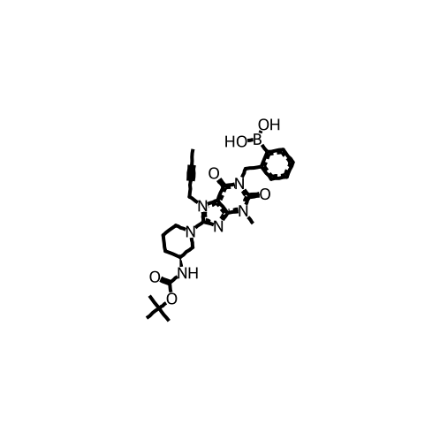 CC#CCn1c(N2CCC[C@H](NC(=O)OC(C)(C)C)C2)nc2c1c(=O)n(Cc1ccccc1B(O)O)c(=O)n2C